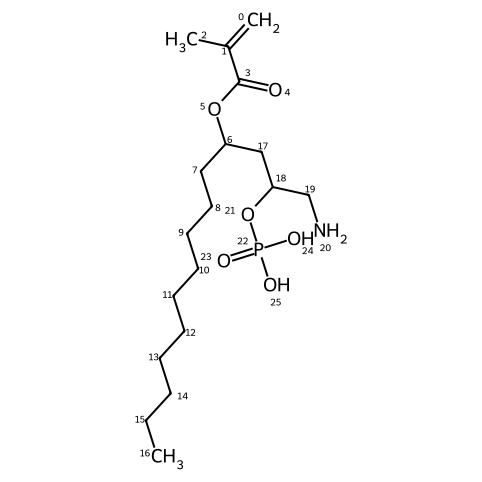 C=C(C)C(=O)OC(CCCCCCCCCC)CC(CN)OP(=O)(O)O